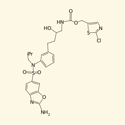 CC(C)CN(c1cccc(CCC(O)CNC(=O)OCc2cnc(Cl)s2)c1)S(=O)(=O)c1ccc2nc(N)oc2c1